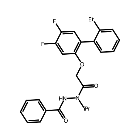 CCc1ccccc1-c1cc(F)c(F)cc1OCC(=O)N(NC(=O)c1ccccc1)C(C)C